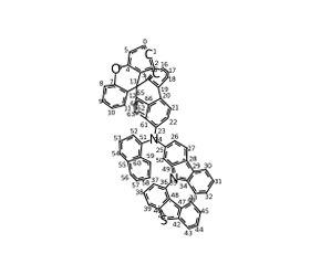 c1ccc2c(c1)Oc1ccccc1C21c2ccccc2-c2ccc(N(c3ccc4c5ccccc5n(-c5cccc6sc7ccccc7c56)c4c3)c3cccc4ccccc34)c3cccc1c23